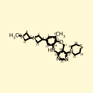 Cc1cc(C2CN(C3CN(C)C3)C2)cc2c1OCc1c(ncnc1N1CCSCC1)N2